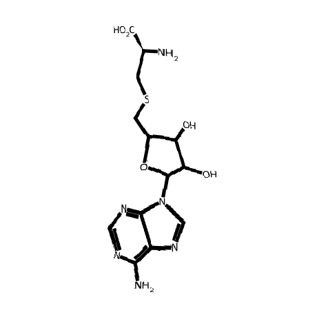 Nc1ncnc2c1ncn2C1OC(CSC[C@H](N)C(=O)O)C(O)C1O